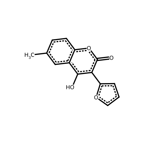 Cc1ccc2oc(=O)c(-c3ccco3)c(O)c2c1